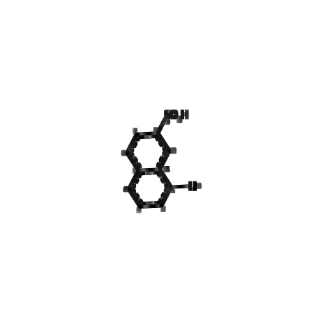 [Li][c]1cccc2ccc(S(=O)(=O)O)cc12